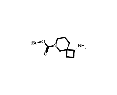 CC(C)(C)OC(=O)N1CCC[C@@]2(CC[C@H]2N)C1